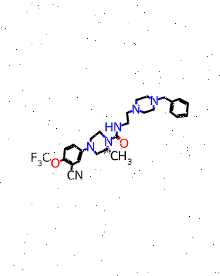 C[C@@H]1CN(c2ccc(OC(F)(F)F)c(C#N)c2)CCN1C(=O)NCCN1CCN(Cc2ccccc2)CC1